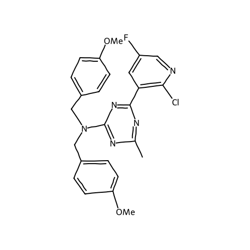 COc1ccc(CN(Cc2ccc(OC)cc2)c2nc(C)nc(-c3cc(F)cnc3Cl)n2)cc1